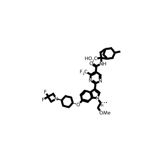 COC[C@@H](C)n1cc(-c2ncc(C(=O)NC3(C(=O)O)CC4CC(C)CC3C4)c(C(F)(F)F)n2)c2ccc(O[C@H]3CC[C@H](N4CC(F)(F)C4)CC3)cc21